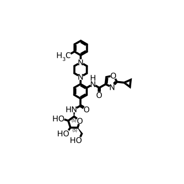 Cc1ccccc1N1CCN(c2ccc(C(=O)N[C@H]3O[C@@H](CO)C(O)C3O)cc2NC(=O)c2coc(C3CC3)n2)CC1